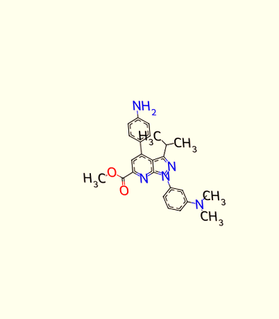 COC(=O)c1cc(-c2ccc(N)cc2)c2c(C(C)C)nn(-c3cccc(N(C)C)c3)c2n1